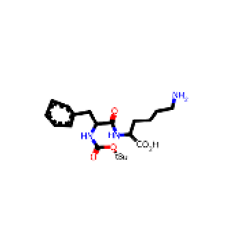 CC(C)(C)OC(=O)NC(Cc1ccccc1)C(=O)NC(CCCCN)C(=O)O